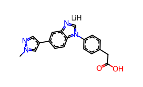 Cn1cc(-c2ccc3c(c2)ncn3-c2ccc(CC(=O)O)cc2)cn1.[LiH]